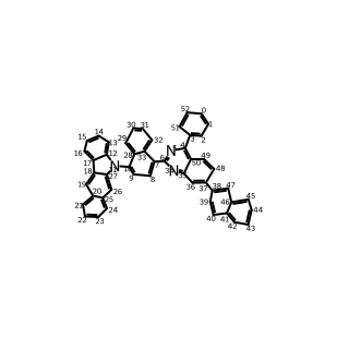 c1ccc(-c2nc(-c3ccc(-n4c5ccccc5c5cc6ccccc6cc54)c4ccccc34)nc3cc(-c4ccc5ccccc5c4)ccc23)cc1